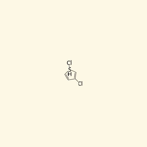 ClC1=C[SH](Cl)C=C1